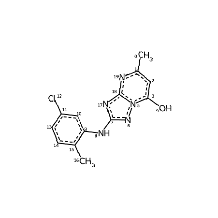 Cc1cc(O)n2nc(Nc3cc(Cl)ccc3C)nc2n1